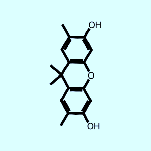 Cc1cc2c(cc1O)Oc1cc(O)c(C)cc1C2(C)C